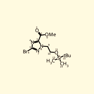 COC(=O)c1nc(Br)nn1CCO[Si](C)(C)C(C)(C)C